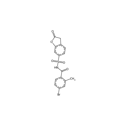 Cc1cc(Br)ccc1C(=O)NS(=O)(=O)c1ccc2c(c1)OC(=O)C2